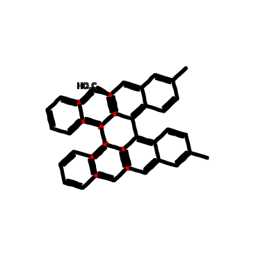 Cc1ccc2c(-c3c(P(c4ccccc4)c4ccccc4)c(C(=O)O)cc4cc(C)ccc34)c(P(c3ccccc3)c3ccccc3)ccc2c1